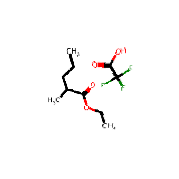 CCCC(C)C(=O)OCC.O=C(O)C(F)(F)F